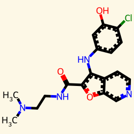 CN(C)CCNC(=O)c1oc2cnccc2c1Nc1ccc(Cl)c(O)c1